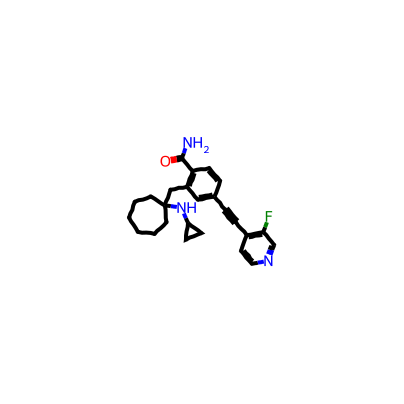 NC(=O)c1ccc(C#Cc2ccncc2F)cc1CC1(NC2CC2)CCCCCC1